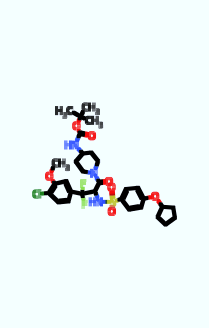 COc1cc(C(F)(F)C(NS(=O)(=O)c2ccc(OC3CCCC3)cc2)C(=O)N2CCC(NC(=O)OC(C)(C)C)CC2)ccc1Cl